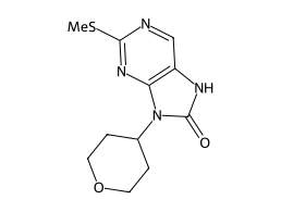 CSc1ncc2[nH]c(=O)n(C3CCOCC3)c2n1